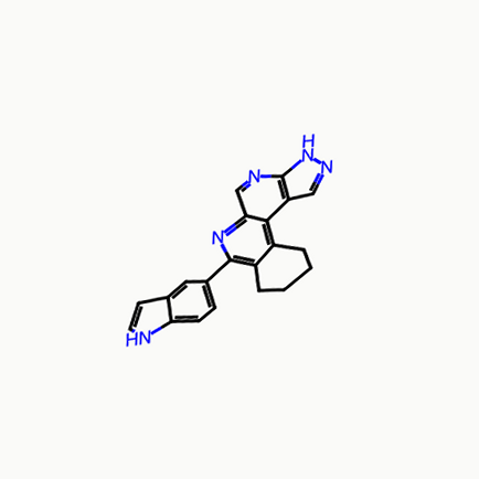 c1cc2cc(-c3nc4cnc5[nH]ncc5c4c4c3CCCC4)ccc2[nH]1